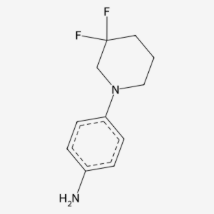 Nc1ccc(N2CCCC(F)(F)C2)cc1